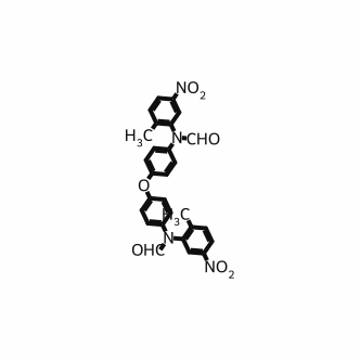 Cc1ccc([N+](=O)[O-])cc1N(C=O)c1ccc(Oc2ccc(N(C=O)c3cc([N+](=O)[O-])ccc3C)cc2)cc1